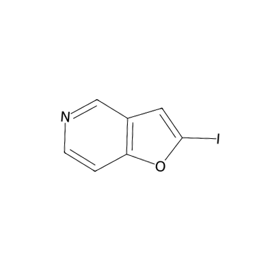 Ic1cc2cnccc2o1